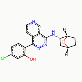 Oc1cc(Cl)ccc1-c1nnc(N[C@H]2C[C@H]3CC[C@@H]2O3)c2cnccc12